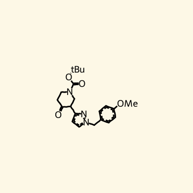 COc1ccc(Cn2ccc(C3CN(C(=O)OC(C)(C)C)CCC3=O)n2)cc1